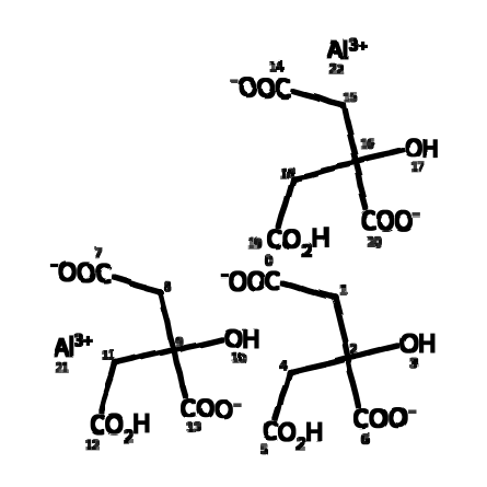 O=C([O-])CC(O)(CC(=O)O)C(=O)[O-].O=C([O-])CC(O)(CC(=O)O)C(=O)[O-].O=C([O-])CC(O)(CC(=O)O)C(=O)[O-].[Al+3].[Al+3]